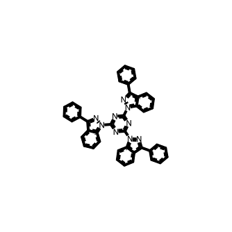 c1ccc(-c2nn(-c3nc(-n4nc(-c5ccccc5)c5ccccc54)nc(-n4nc(-c5ccccc5)c5ccccc54)n3)c3ccccc23)cc1